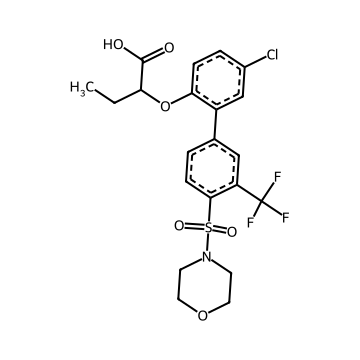 CCC(Oc1ccc(Cl)cc1-c1ccc(S(=O)(=O)N2CCOCC2)c(C(F)(F)F)c1)C(=O)O